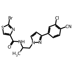 CC(Cn1ccc(-c2ccc(C#N)c(Cl)c2)n1)NC(=O)c1csc(Br)n1